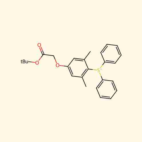 Cc1cc(OCC(=O)OC(C)(C)C)cc(C)c1[S+](c1ccccc1)c1ccccc1